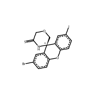 S=C1COC[C@]2(N1)c1cc(Br)ccc1Oc1ccc(I)cc12